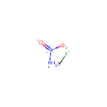 N[N+](=O)[O-].[C]F